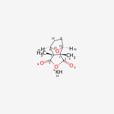 C[C@@]12C(=O)OC(=O)[C@]1(C)[C@H]1CC[C@@H]2O1.[KH]